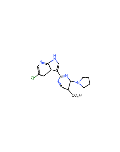 O=C(O)C1C=NC(C2=CNC3=NC=C(Cl)CC23)=NC1N1CCCC1